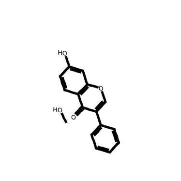 CO.O=c1c(-c2ccccc2)coc2cc(O)ccc12